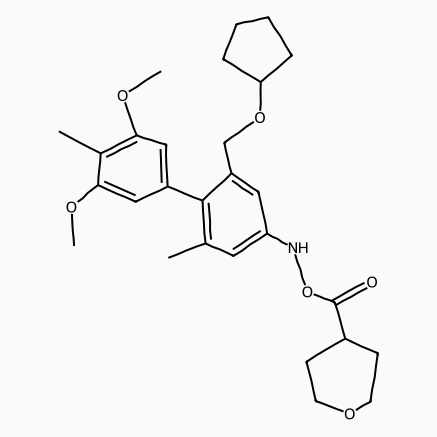 COc1cc(-c2c(C)cc(NOC(=O)C3CCOCC3)cc2COC2CCCC2)cc(OC)c1C